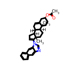 CC(=O)O[C@H]1CC[C@@]2(C)C(=CC[C@@H]3[C@@H]2CC[C@]2(C)C(n4cnc5cc6ccccc6cc54)=CC[C@@H]32)C1